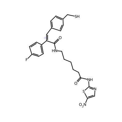 O=C(CCCCCNC(=O)/C(=C\c1ccc(CS)cc1)c1ccc(F)cc1)Nc1ncc([N+](=O)[O-])s1